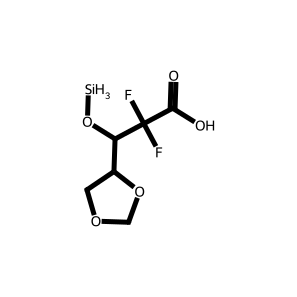 O=C(O)C(F)(F)C(O[SiH3])C1COCO1